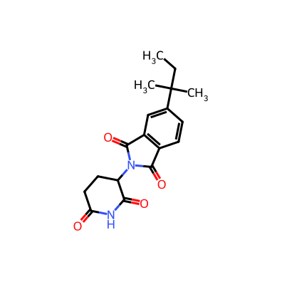 CCC(C)(C)c1ccc2c(c1)C(=O)N(C1CCC(=O)NC1=O)C2=O